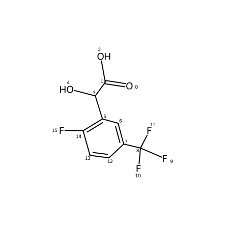 O=C(O)C(O)c1cc(C(F)(F)F)ccc1F